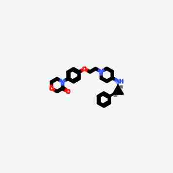 O=C1COCCN1c1ccc(OCCN2CCC(N[C@@H]3C[C@H]3c3ccccc3)CC2)cc1